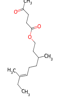 CCC(C)=CCCC(C)CCOC(=O)CCC(C)=O